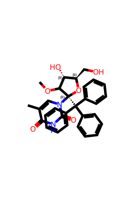 COC1[C@H](O)[C@@H](CO)O[C@]1(n1cc(C)c(=O)[nH]c1=O)C(c1ccccc1)(c1ccccc1)c1ccccc1